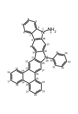 Nn1c2ccccc2c2cc3c4cc5c6ccccc6c6ccccc6c5cc4n(-c4ccccc4)c3cc21